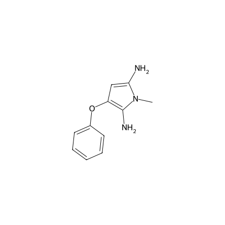 Cn1c(N)cc(Oc2ccccc2)c1N